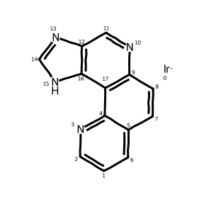 [Ir].c1cnc2c(c1)ccc1ncc3nc[nH]c3c12